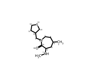 CNC1CC(C)CCN(CC2CCSC2)C1=O